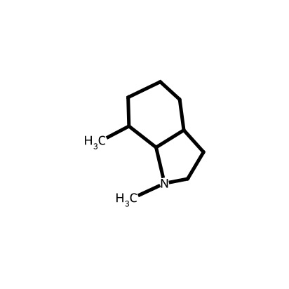 CC1CCCC2CCN(C)C12